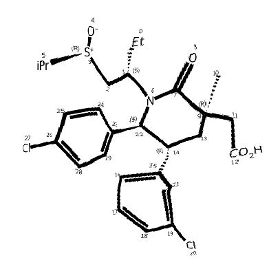 CC[C@@H](C[S@+]([O-])C(C)C)N1C(=O)[C@@](C)(CC(=O)O)C[C@H](c2cccc(Cl)c2)[C@H]1c1ccc(Cl)cc1